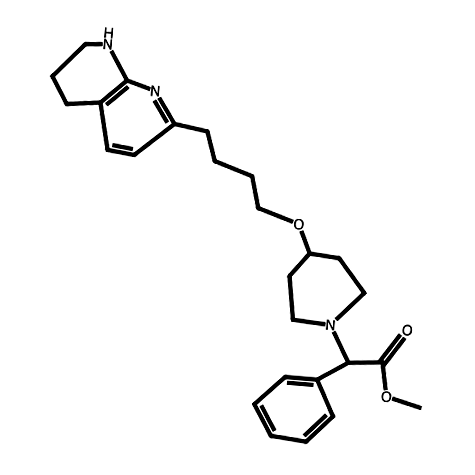 COC(=O)C(c1ccccc1)N1CCC(OCCCCc2ccc3c(n2)NCCC3)CC1